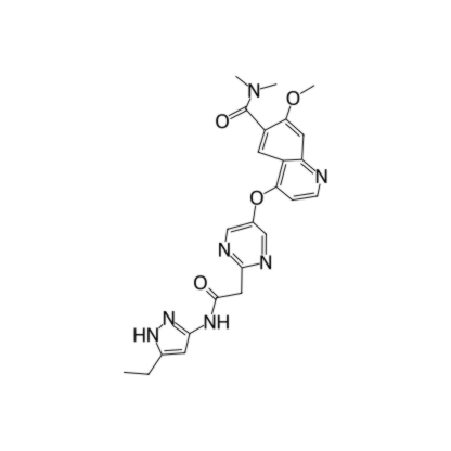 CCc1cc(NC(=O)Cc2ncc(Oc3ccnc4cc(OC)c(C(=O)N(C)C)cc34)cn2)n[nH]1